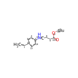 C=Cc1ccc(NCCCC(=O)OC(C)(C)C)cc1